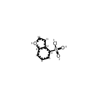 O=S(=O)(Cl)c1cccc2occc12